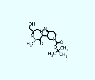 CN1N=C(CO)Cn2nc3c(c2C1=O)CN(C(=O)OC(C)(C)C)CC3